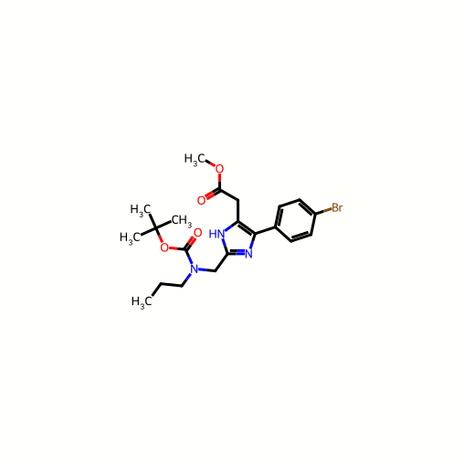 CCCN(Cc1nc(-c2ccc(Br)cc2)c(CC(=O)OC)[nH]1)C(=O)OC(C)(C)C